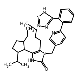 CCCCc1c(C2C(CC)CCC2C(C)C)[nH]c(=O)n1Cc1ccc(-c2ccccc2-c2nnn[nH]2)nc1